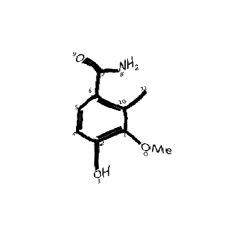 COc1c(O)ccc(C(N)=O)c1C